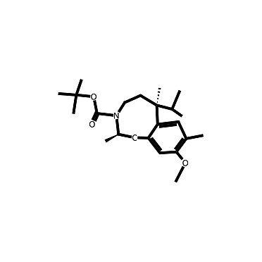 COc1cc2c(cc1C)[C@](C)(C(C)C)CCN(C(=O)OC(C)(C)C)[C@H](C)C2